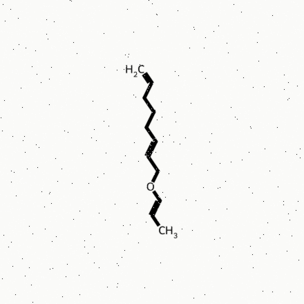 C=CCCCC=CCOC=CC